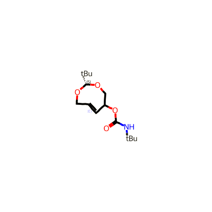 CC(C)(C)NC(=O)OC1/C=C/CO[C@H](C(C)(C)C)OC1